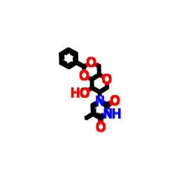 Cc1cn(C2COC3COC(c4ccccc4)OC3C2O)c(=O)[nH]c1=O